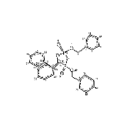 O=P(CP(=O)(OCc1ccccc1)OCc1ccccc1)(OCc1ccccc1)OCc1ccccc1